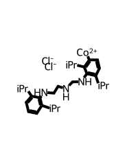 CC(C)c1cccc(C(C)C)c1NCCNCNc1c(C(C)C)cc[c]([Co+2])c1C(C)C.[Cl-].[Cl-]